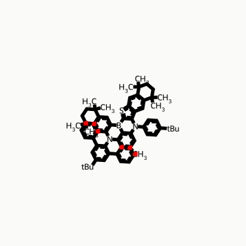 Cc1cc2c3c(c1)N(c1ccc(C(C)(C)C)cc1)c1c(sc4cc5c(cc14)C(C)(C)CCC5(C)C)B3c1cc3c(cc1N2c1c(-c2ccccc2)cc(C(C)(C)C)cc1-c1ccccc1)C(C)(C)CCC3(C)C